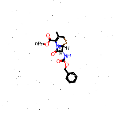 CCCOC(=O)C1=C(C)CS[C@@H]2[C@H](NC(=O)OCc3ccccc3)C(=O)N12